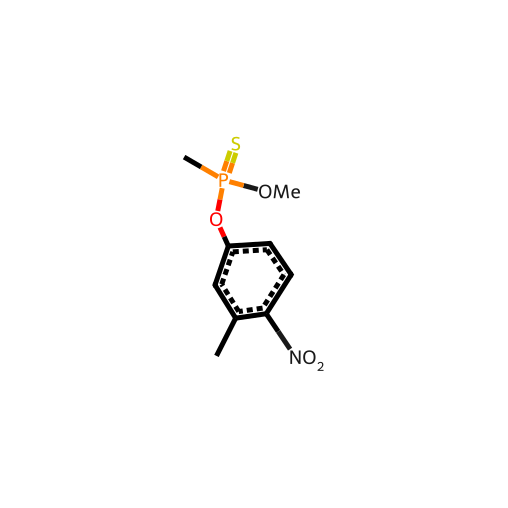 COP(C)(=S)Oc1ccc([N+](=O)[O-])c(C)c1